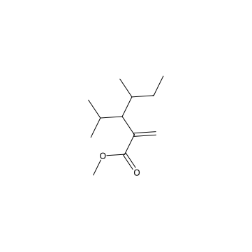 C=C(C(=O)OC)C(C(C)C)C(C)CC